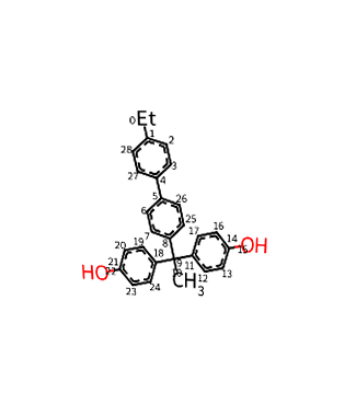 CCc1ccc(-c2ccc(C(C)(c3ccc(O)cc3)c3ccc(O)cc3)cc2)cc1